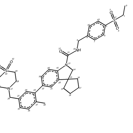 CCS(=O)(=O)c1ccc(CNC(=O)N2CC3(CCCC3)c3cc(-c4cc(CN5CCS(=O)(=O)CC5)ccc4C)ccc32)cc1